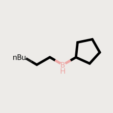 CCCCCCBC1CCCC1